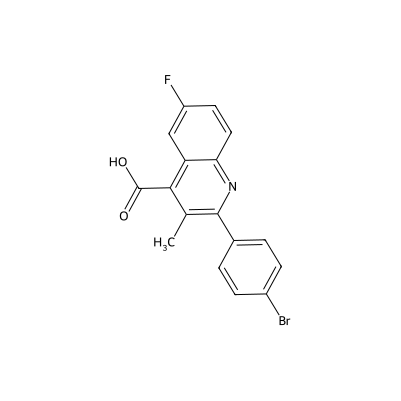 Cc1c(-c2ccc(Br)cc2)nc2ccc(F)cc2c1C(=O)O